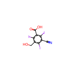 N#Cc1c(I)c(CO)c(I)c(C(=O)O)c1I